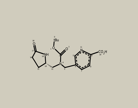 CC(C)(C)OC(=O)N(Cc1ccc(C(=O)O)nc1)C[C@@H]1CCC(=O)N1